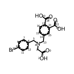 O=C(O)CN(Cc1ccc(Br)cc1)Cc1ccc(C(=O)O)c(C(=O)O)c1